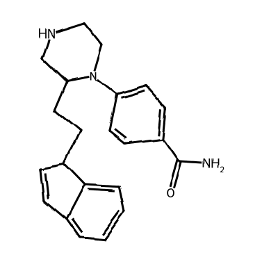 NC(=O)c1ccc(N2CCNCC2CCC2C=Cc3ccccc32)cc1